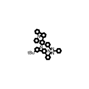 CC(C)(C)c1ccc2c(c1)c1cc(-c3ccccc3-c3nc(-c4ccccc4)nc(-c4ccccc4)n3)ccc1n2-c1ccc(-c2cccc3c4ccccc4n(-c4ccccc4)c23)cc1